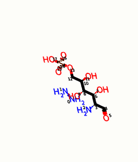 NN.N[C@@H](C=O)[C@@H](O)[C@H](O)[C@H](O)COS(=O)(=O)O